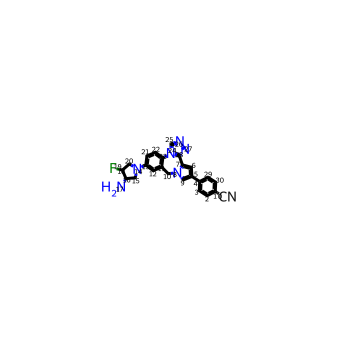 N#Cc1ccc(-c2cc3n(c2)Cc2cc(N4CC(N)C(F)C4)ccc2-n2cnnc2-3)cc1